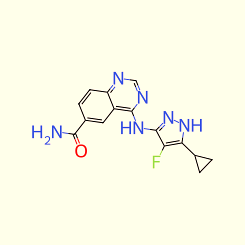 NC(=O)c1ccc2ncnc(Nc3n[nH]c(C4CC4)c3F)c2c1